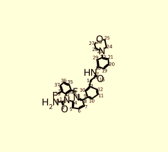 NC(=O)N(c1cccc(-c2cccc(CC(=O)Nc3cccc(N4CCOCC4)c3)c2)n1)c1c(F)cccc1F